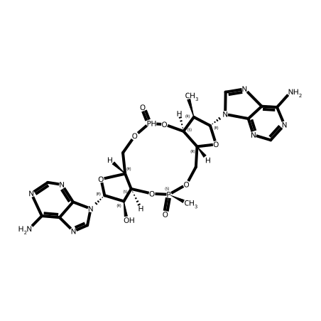 C[C@@H]1[C@@H]2O[PH](=O)OC[C@H]3O[C@@H](n4cnc5c(N)ncnc54)[C@H](O)[C@@H]3O[P@@](C)(=O)OC[C@H]2O[C@H]1n1cnc2c(N)ncnc21